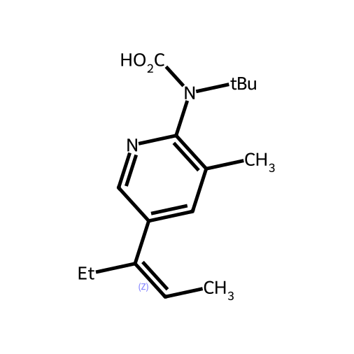 C/C=C(/CC)c1cnc(N(C(=O)O)C(C)(C)C)c(C)c1